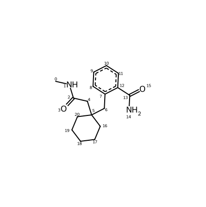 CNC(=O)CC1(Cc2ccccc2C(N)=O)CCCCC1